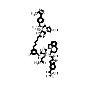 Cc1ncsc1-c1ccc([C@H](C)NC(=O)[C@@H]2C[C@@H](O)CN2C(=O)[C@@H](NC(=O)CCCCCc2cc(F)cc(NC(=O)[C@H](CCC(N)=O)NC(=O)[C@@H]3Cc4cccc5c4N3C(=O)[C@@H](NC(=O)c3cc4cc(C(=O)P(=O)(O)O)ccc4[nH]3)CC5)c2)C(C)(C)C)cc1